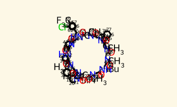 CC[C@H](C)[C@@H]1NC(=O)[C@H](CC(C)C)N(C)C(=O)C[C@@H](C(=O)N2CCCCC2)N(C)C(=O)[C@H](C2CCCCC2)N(C)C(=O)C2(CCCC2)NC(=O)[C@@H]2CCCN2C(=O)[C@H](CCc2ccc(C(F)(F)F)c(Cl)c2)NC(=O)CN(C)C(=O)[C@H](CC2CCCCC2)N(CC)C(=O)CN(C)C(=O)CN(C)C1=O